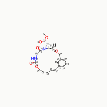 COC(=O)[C@@H]1C[C@@H]2CN1C(=O)CNC(=O)OCCC/C=C/c1cccc(c1)CO2